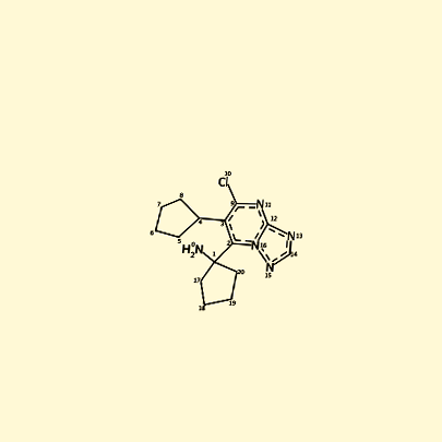 NC1(c2c(C3CCCC3)c(Cl)nc3ncnn23)CCCC1